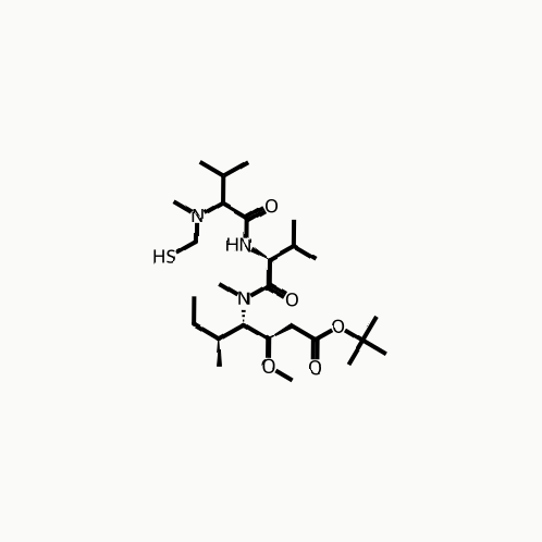 CC[C@H](C)[C@@H]([C@@H](CC(=O)OC(C)(C)C)OC)N(C)C(=O)[C@@H](NC(=O)C(C(C)C)N(C)CS)C(C)C